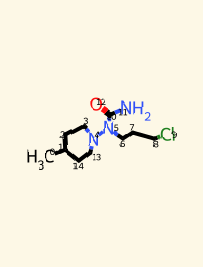 CC1CCN(N(CCCCl)C(N)=O)CC1